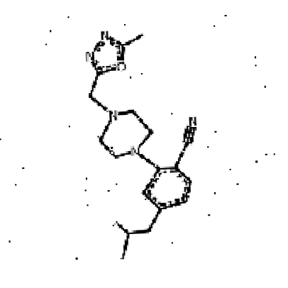 Cc1nnc(CN2CCN(c3cc(CC(C)C)ccc3C#N)CC2)o1